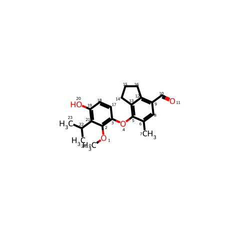 COc1c(Oc2c(C)cc([C]=O)c3c2CCC3)ccc(O)c1C(C)C